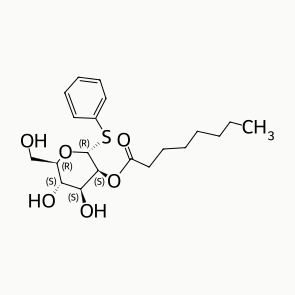 CCCCCCCC(=O)O[C@H]1[C@@H](O)[C@H](O)[C@@H](CO)O[C@@H]1Sc1ccccc1